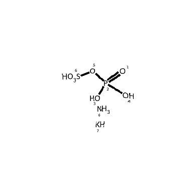 N.O=P(O)(O)OS(=O)(=O)O.[KH]